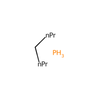 CCCCCCC.P